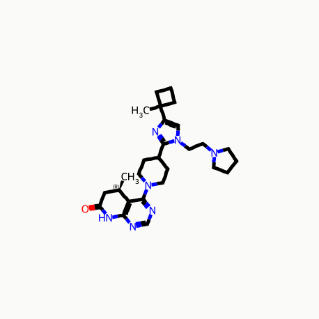 C[C@@H]1CC(=O)Nc2ncnc(N3CCC(c4nc(C5(C)CCC5)cn4CCN4CCCC4)CC3)c21